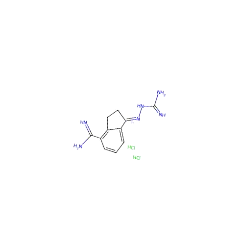 Cl.Cl.N=C(N)N/N=C1\CCc2c(C(=N)N)cccc21